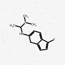 CC(NC1=CC=C2C(F)=CC=C2C1)N(C)C